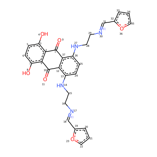 O=C1c2c(O)ccc(O)c2C(=O)c2c(NCC/N=C/c3ccco3)ccc(NCC/N=C/c3ccco3)c21